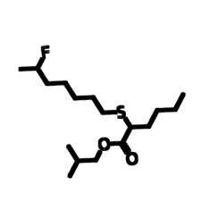 CCCCC(SCCCCCC(C)F)C(=O)OCC(C)C